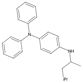 CC(C)CC(C)Nc1ccc(N(c2ccccc2)c2ccccc2)cc1